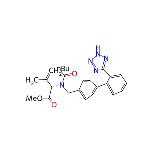 C=C(C)[C@@H](C(=O)OC)N(Cc1ccc(-c2ccccc2-c2nn[nH]n2)cc1)C(=O)CCCC